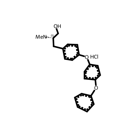 CN[C@H](CO)Cc1ccc(Oc2ccc(Oc3ccccc3)cc2)cc1.Cl